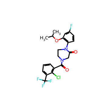 CC(C)Oc1cc(F)ccc1N1CCN(C(=O)c2cccc(C(F)(F)F)c2Cl)CC1=O